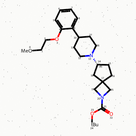 COCCOc1ccccc1C1CCN([C@@H]2CCC3(C2)CN(C(=O)OC(C)(C)C)C3)CC1